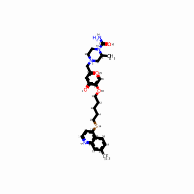 CC1CN(Cc2cc(=O)c(OCCCCCSc3ccnc4cc(C(F)(F)F)ccc34)co2)CCN1C(N)=O